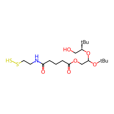 CC(C)(C)OC(COC(=O)CCCC(=O)NCCSS)O[C@@H](CO)C(C)(C)C